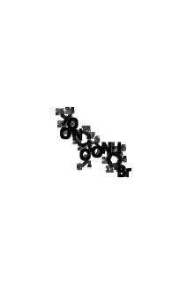 CCOC(=O)C1(CCNc2ccc(Br)cc2C)CCN(C(=O)OC(C)(C)C)CC1